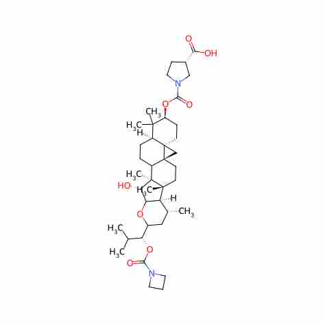 CC(C)[C@@H](OC(=O)N1CCC1)C1C[C@@H](C)[C@H]2C(O1)[C@H](O)[C@@]1(C)C3CC[C@H]4C(C)(C)[C@@H](OC(=O)N5CC[C@H](C(=O)O)C5)CC[C@@]45C[C@@]35CC[C@]21C